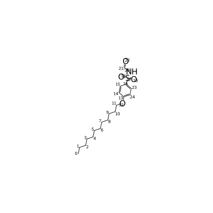 CCCCCCCCCCCCOc1ccc(S(=O)(=O)N[C]=O)cc1